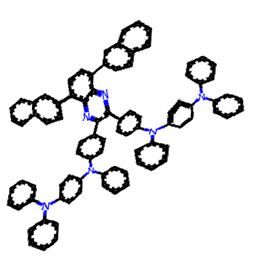 C1=C=C(N(c2ccccc2)c2ccc(-c3nc4c(-c5ccc6ccccc6c5)ccc(-c5ccc6ccccc6c5)c4nc3-c3ccc(N(c4ccccc4)c4ccc(N(c5ccccc5)c5ccccc5)cc4)cc3)cc2)C=CC=1N(c1ccccc1)c1ccccc1